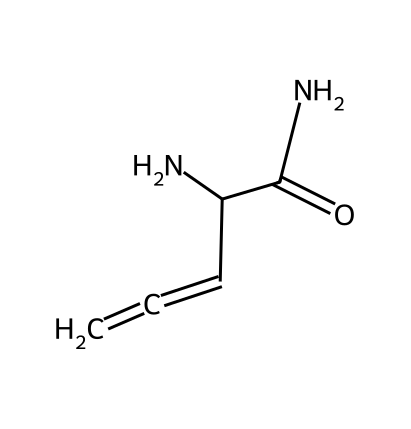 C=C=CC(N)C(N)=O